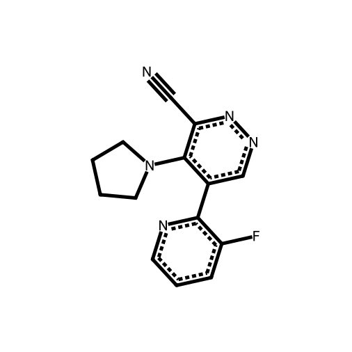 N#Cc1nncc(-c2ncccc2F)c1N1CCCC1